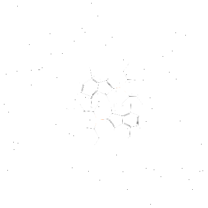 CCC(C)P(C1=Cc2c(C)ccc(C)c2[CH]1[Hf+2][CH]1C(P(C(C)CC)C(C)CC)=Cc2c(C)ccc(C)c21)C(C)CC.[Cl-].[Cl-]